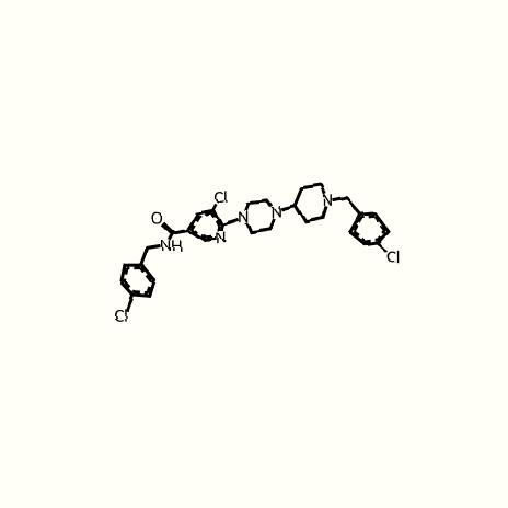 O=C(NCc1ccc(Cl)cc1)c1cnc(N2CCN(C3CCN(Cc4ccc(Cl)cc4)CC3)CC2)c(Cl)c1